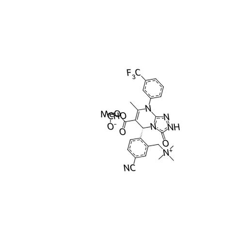 COC(=O)C1=C(C)N(c2cccc(C(F)(F)F)c2)c2n[nH]c(=O)n2[C@@H]1c1ccc(C#N)cc1C[N+](C)(C)C.O=C[O-]